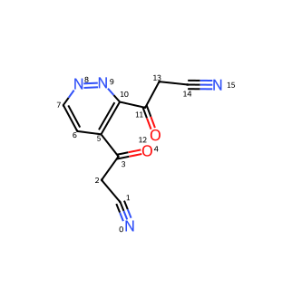 N#CCC(=O)c1ccnnc1C(=O)CC#N